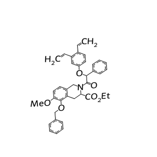 C=Cc1ccc(OC(C(=O)N2Cc3ccc(OC)c(OCc4ccccc4)c3CC2C(=O)OCC)c2ccccc2)cc1C=C